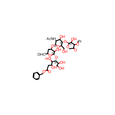 CC(=O)NC1C(O)[C@H](O[C@@H]2OCC(=O)C(OC(C)C)C2O)C(CO)O[C@H]1OC1CC(C=O)O[C@@H](O[C@H](C(O)CO)C(O)C(O)CC(=O)OCc2ccccc2)C1O